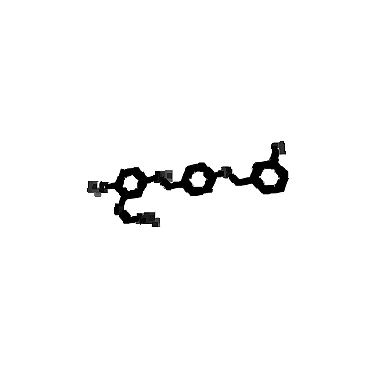 Cc1ccc(NCc2ccc(OCc3cccc(Cl)c3)cc2)cc1/N=C\N